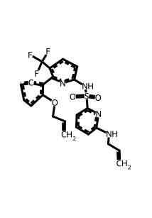 C=CCNc1cccc(S(=O)(=O)Nc2ccc(C(F)(F)F)c(-c3ccccc3OCC=C)n2)n1